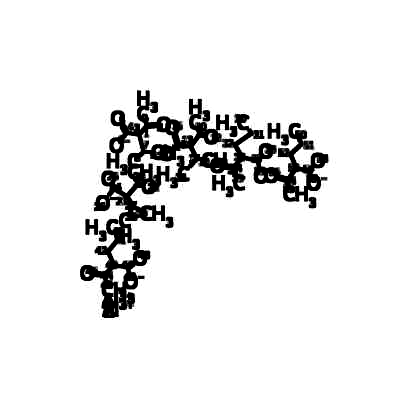 CC(=O)C(C(=O)[O-])C(C)C.CC(=O)C(C(=O)[O-])C(C)C.CC(=O)C(C(=O)[O-])C(C)C.CCCC(C(C)=O)C(=O)[O-].CCCC(C(C)=O)C(=O)[O-].CCCC(C(C)=O)C(=O)[O-].[Al+3].[Al+3]